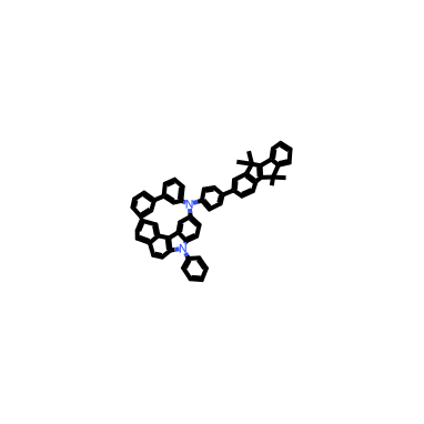 CC1(C)C2=C(c3ccccc31)C(C)(C)c1cc(-c3ccc(N(c4cccc(-c5ccccc5)c4)c4ccc5c(c4)c4c6ccccc6ccc4n5-c4ccccc4)cc3)ccc12